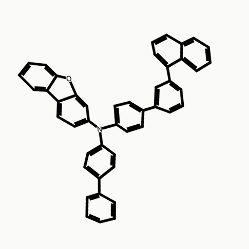 c1ccc(-c2ccc(N(c3ccc(-c4cccc(-c5cccc6ccccc56)c4)cc3)c3ccc4c(c3)oc3ccccc34)cc2)cc1